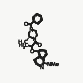 CNc1nccc2c(OC(C)C(=O)N3CCN(C(=O)c4ccccc4)C[C@H]3C)cccc12